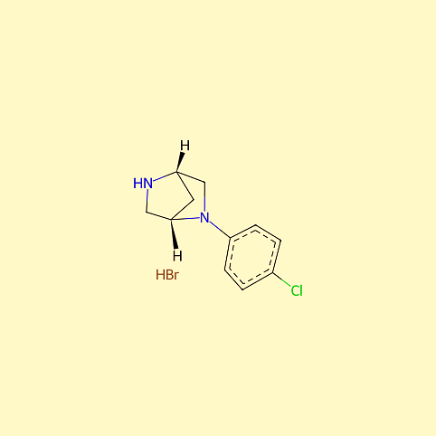 Br.Clc1ccc(N2C[C@@H]3C[C@H]2CN3)cc1